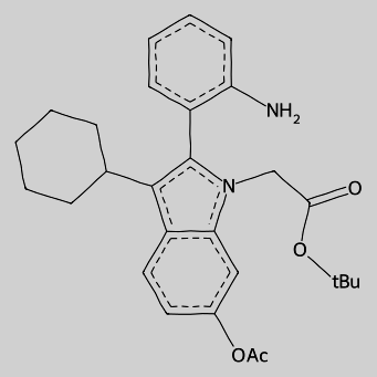 CC(=O)Oc1ccc2c(C3CCCCC3)c(-c3ccccc3N)n(CC(=O)OC(C)(C)C)c2c1